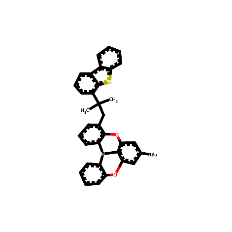 CC(C)(C)c1cc2c3c(c1)Oc1c(CC(C)(C)c4cccc5c4sc4ccccc45)cccc1B3c1ccccc1O2